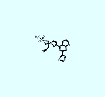 CS(=O)(=O)N1CC(CC#N)(n2ccc(-c3nc(-c4cncnc4)cc4ncccc34)n2)C1